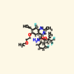 C#Cc1c(OCCOC)cc2c(C(N)CC3(CC(C)(O)C(F)F)C=CC=CC3F)nc(C)nc2c1F